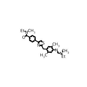 CCN(C)C=Nc1cc(C)c(Cc2nc(-c3ccc(C(=O)N(C)CC)cc3)cs2)cc1C